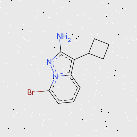 Nc1nn2c(Br)cccc2c1C1CCC1